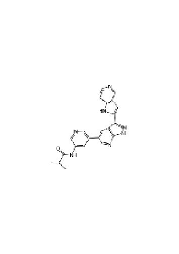 CC(C)C(=O)Nc1cncc(-c2cnc3[nH]nc(-c4cc5cnccc5[nH]4)c3c2)c1